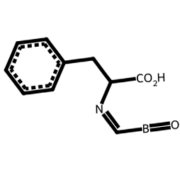 O=B/C=N\C(Cc1ccccc1)C(=O)O